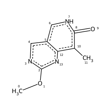 COc1ncc2c[nH]c(=O)c(C)c2n1